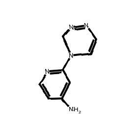 Nc1ccnc(N2C=CN=NC2)c1